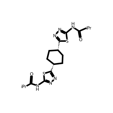 CC(C)C(=O)Nc1nnc([C@H]2CC[C@@H](c3nnc(NC(=O)C(C)C)s3)CC2)s1